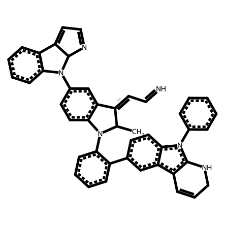 CC1/C(=C\C=N)c2cc(N3c4ccccc4C4=CC=NC43)ccc2N1c1ccccc1-c1ccc2c(c1)c1c(n2-c2ccccc2)NCC=C1